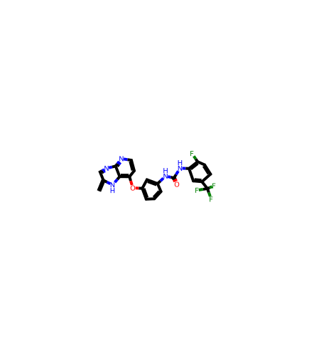 C=C1C=Nc2nccc(Oc3cccc(NC(=O)Nc4cc(C(F)(F)F)ccc4F)c3)c2N1